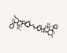 CCCC(NC(=O)c1ccc(SSc2ccc(C(=O)NC(CCC)C(N)C(=O)N3CCSC3)nc2)nc1)C(N)C(=O)N1CCSC1